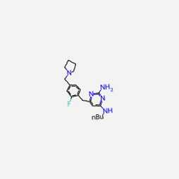 CCCCNc1cc(Cc2ccc(CN3CCCC3)cc2F)nc(N)n1